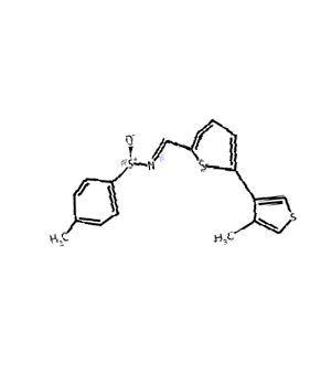 Cc1ccc([S@@+]([O-])/N=C/c2ccc(-c3cscc3C)s2)cc1